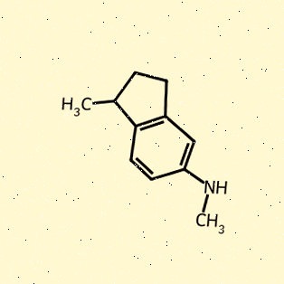 CNc1ccc2c(c1)CCC2C